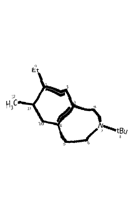 CCC1=CC2=C(CCN(C(C)(C)C)C2)CC1C